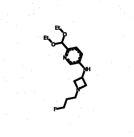 CCOC(OCC)c1ccc(NC2CN(CCCF)C2)cn1